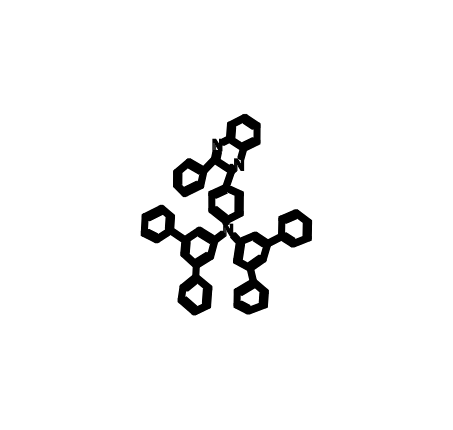 c1ccc(-c2cc(-c3ccccc3)cc(N(c3ccc(-c4nc5ccccc5nc4-c4ccccc4)cc3)c3cc(-c4ccccc4)cc(-c4ccccc4)c3)c2)cc1